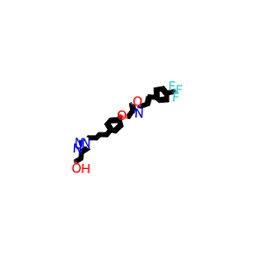 OCCc1cn(CCCCc2ccc(OCc3coc(/C=C/c4ccc(C(F)(F)F)cc4)n3)cc2)nn1